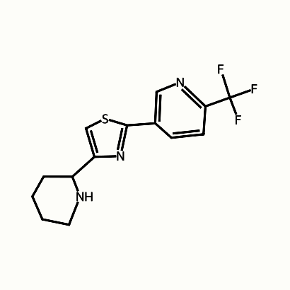 FC(F)(F)c1ccc(-c2nc(C3CCCCN3)cs2)cn1